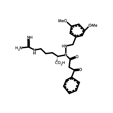 COc1cc(CNN(C(=O)CC(=O)c2ccccc2)[C@@H](CCCNC(=N)N)C(=O)O)cc(OC)c1